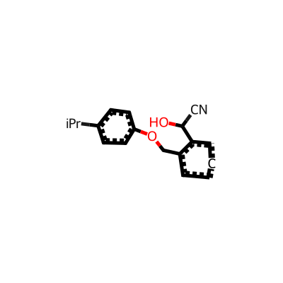 CC(C)c1ccc(OCc2ccccc2C(O)C#N)cc1